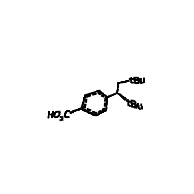 CC(C)(C)C[C@H](c1ccc(C(=O)O)cc1)C(C)(C)C